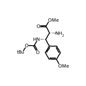 COC(=O)[C@H](N)[C@@H](NC(=O)OC(C)(C)C)c1ccc(OC)cc1